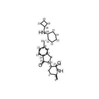 C=C1CCC(N2Cc3cc(C[C@H]4CCCC[C@@H]4NC4CCC4)ccc3C2=O)C(=O)N1